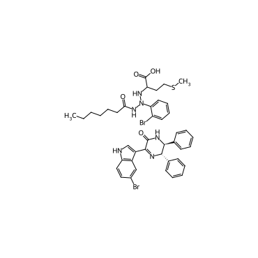 CCCCCCC(=O)NN(NC(CCSC)C(=O)O)c1ccccc1Br.O=C1N[C@@H](c2ccccc2)[C@H](c2ccccc2)N=C1c1c[nH]c2ccc(Br)cc12